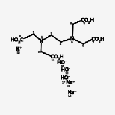 O=C(O)CN(CCN(CC(=O)O)CC(=O)O)CC(=O)O.[K+].[Na+].[Na+].[OH-].[OH-].[OH-]